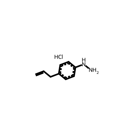 C=CCc1ccc(NN)cc1.Cl